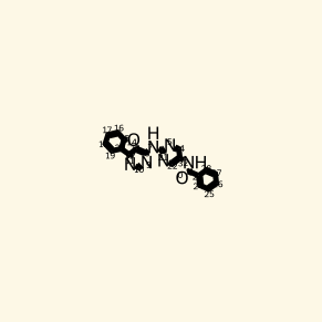 O=C(Nc1cnc(Nc2ncnc3c2OC2C=CC=CC32)nc1)c1ccccc1